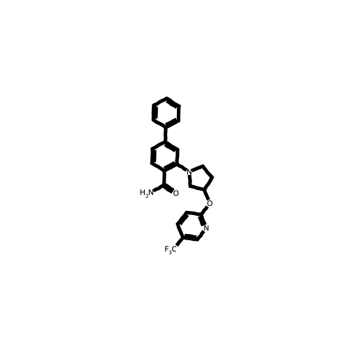 NC(=O)c1ccc(-c2ccccc2)cc1N1CCC(Oc2ccc(C(F)(F)F)cn2)C1